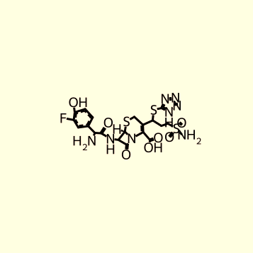 NC(C(=O)NC1C(=O)N2C(C(=O)O)=C(C(CCS(N)(=O)=O)Sc3nnn[nH]3)CS[C@@H]12)c1ccc(O)c(F)c1